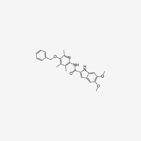 COc1cc2cc(C(=O)Nc3nc(C)c(OCc4ccccc4)c(C)c3C)[nH]c2cc1OC